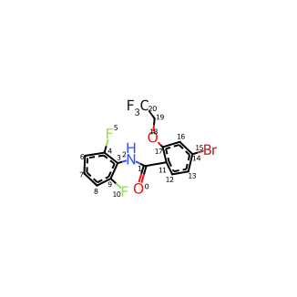 O=C(Nc1c(F)cccc1F)c1ccc(Br)cc1OCC(F)(F)F